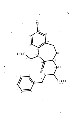 CCOC(=O)C(CCc1ccccc1)NC1CCc2cc(Cl)ccc2N(CC(=O)O)C1=O